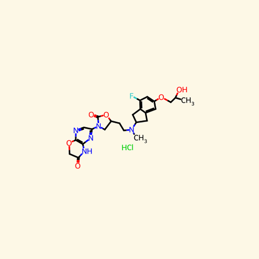 CC(O)COc1cc(F)c2c(c1)CC(N(C)CCC1CN(c3cnc4c(n3)NC(=O)CO4)C(=O)O1)C2.Cl